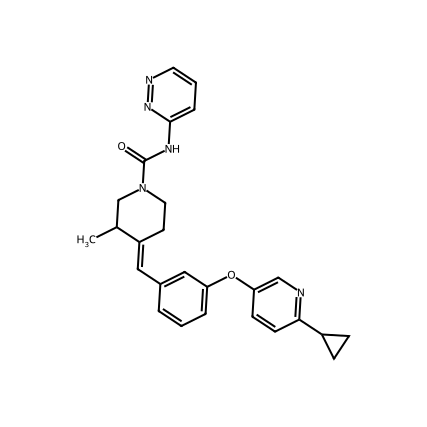 CC1CN(C(=O)Nc2cccnn2)CCC1=Cc1cccc(Oc2ccc(C3CC3)nc2)c1